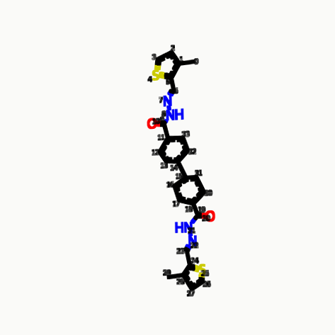 Cc1ccsc1/C=N/NC(=O)c1ccc(-c2ccc(C(=O)N/N=C/c3sccc3C)cc2)cc1